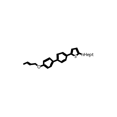 CC=CCOc1ccc(-c2ccc(-c3ccc(CCCCCCC)s3)cc2)cc1